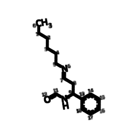 CCCCCCN=CCC(NC=O)c1ccccc1